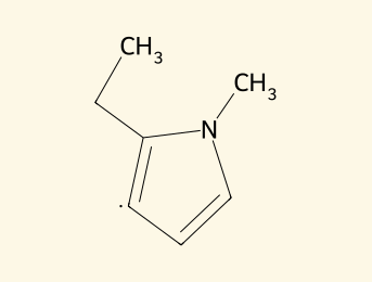 CCc1[c]ccn1C